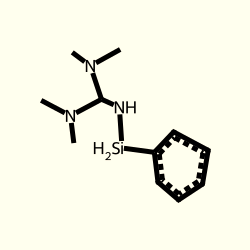 CN(C)C(N[SiH2]c1ccccc1)N(C)C